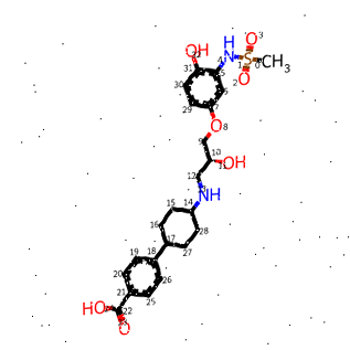 CS(=O)(=O)Nc1cc(OC[C@@H](O)CNC2CCC(c3ccc(C(=O)O)cc3)CC2)ccc1O